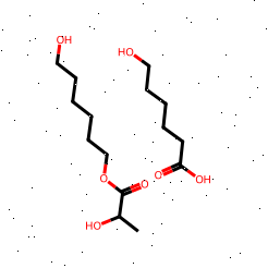 CC(O)C(=O)OCCCCCCO.O=C(O)CCCCCO